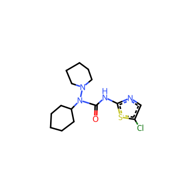 O=C(Nc1ncc(Cl)s1)N(C1CCCCC1)N1CCCCC1